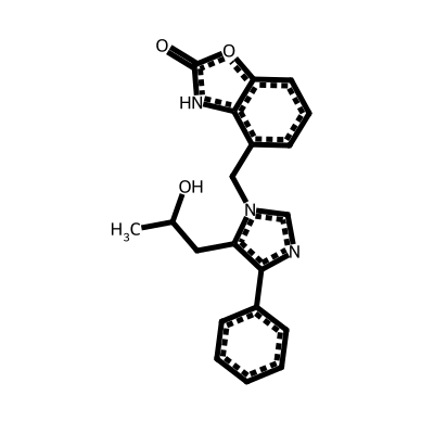 CC(O)Cc1c(-c2ccccc2)ncn1Cc1cccc2oc(=O)[nH]c12